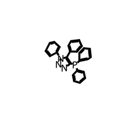 c1ccc(-c2c(P(c3ccccc3)c3ccccc3)nnn2-c2ccccc2)cc1